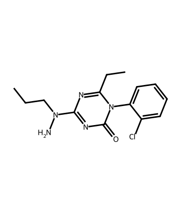 CCCN(N)c1nc(CC)n(-c2ccccc2Cl)c(=O)n1